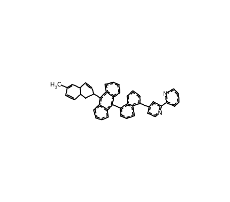 CC1=CC2C=CC(c3c4ccccc4c(-c4cccc5c(-c6ccnc(-c7ccccn7)c6)cccc45)c4ccccc34)CC2C=C1